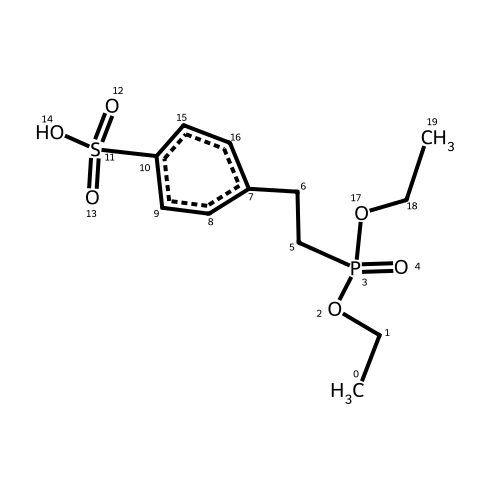 CCOP(=O)(CCc1ccc(S(=O)(=O)O)cc1)OCC